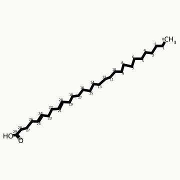 CCCCCCCCCCCCCCCCCCCCC=CCCC=CCCCC(=O)O